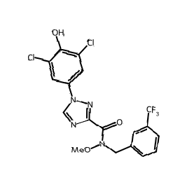 CON(Cc1cccc(C(F)(F)F)c1)C(=O)c1ncn(-c2cc(Cl)c(O)c(Cl)c2)n1